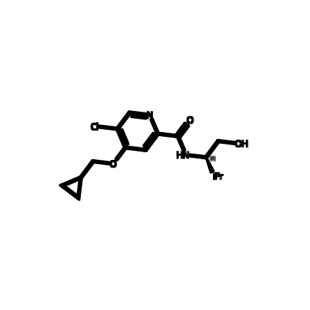 CC(C)[C@H](CO)NC(=O)c1cc(OCC2CC2)c(Cl)cn1